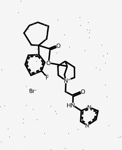 O=C(C[N+]12CCC(CC1)C(OC(=O)C1(c3cccc(F)c3)CCCCCC1)C2)Nc1cnccn1.[Br-]